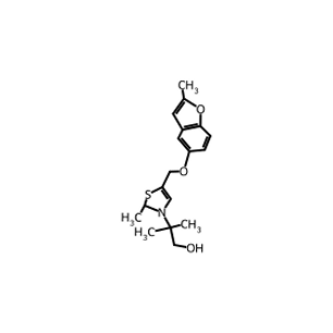 Cc1cc2cc(OCC3=CN(C(C)(C)CO)C(C)S3)ccc2o1